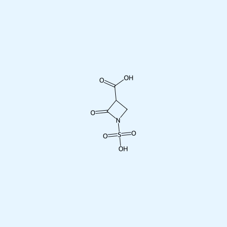 O=C(O)C1CN(S(=O)(=O)O)C1=O